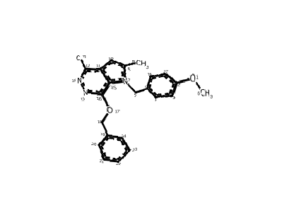 COc1ccc(Cn2c(C)cc3c(Cl)nnc(OCc4ccccc4)c32)cc1